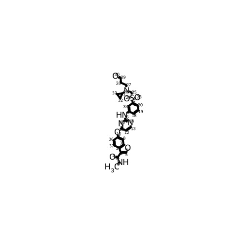 CNC(=O)c1coc2cc(Oc3ccnc(Nc4cccc(S(=O)(=O)CN(CCC=O)C5CC5)c4)n3)ccc12